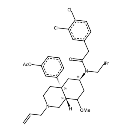 C=CCN1CC[C@@]2(c3cccc(OC(C)=O)c3)C[C@@H](N(CC(C)C)C(=O)Cc3ccc(Cl)c(Cl)c3)CC(OC)[C@@H]2C1